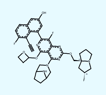 C#Cc1c(F)ccc2cc(O)cc(-c3nc(OC4CCO4)c4c(N5CC6CCC(C5)N6)nc(OC[C@@]56CCCN5C[C@H](F)C6)nc4c3F)c12